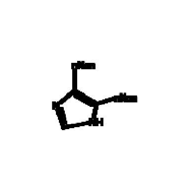 CCCCCCCCCc1nc[nH]c1CCCCCCCCC